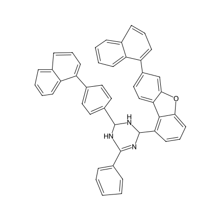 c1ccc(C2=NC(c3cccc4oc5cc(-c6cccc7ccccc67)ccc5c34)NC(c3ccc(-c4cccc5ccccc45)cc3)N2)cc1